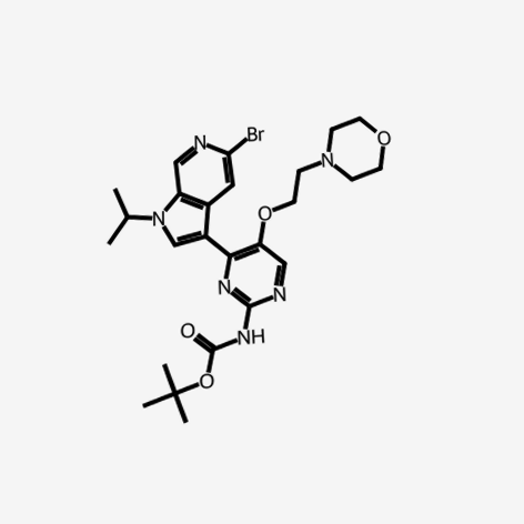 CC(C)n1cc(-c2nc(NC(=O)OC(C)(C)C)ncc2OCCN2CCOCC2)c2cc(Br)ncc21